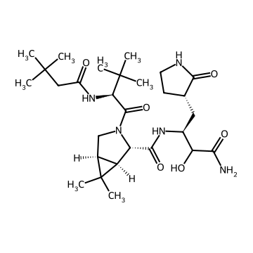 CC(C)(C)CC(=O)N[C@H](C(=O)N1C[C@H]2[C@@H]([C@H]1C(=O)N[C@@H](C[C@@H]1CCNC1=O)C(O)C(N)=O)C2(C)C)C(C)(C)C